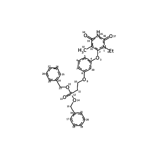 CCn1c(Oc2cccc(OCCP(=O)(OCc3ccccc3)OCc3ccccc3)c2)c(C)c(=O)[nH]c1=O